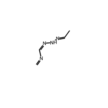 C=N/C=N\N/N=C/C